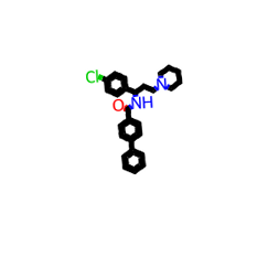 O=C(NC(CCN1CCCCC1)c1ccc(Cl)cc1)c1ccc(-c2ccccc2)cc1